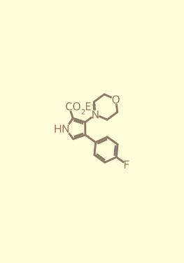 CCOC(=O)c1[nH]cc(-c2ccc(F)cc2)c1N1CCOCC1